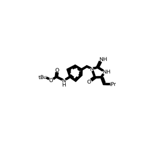 CC(C)/C=C1\NC(=N)N(Cc2ccc(NC(=O)OC(C)(C)C)cc2)C1=O